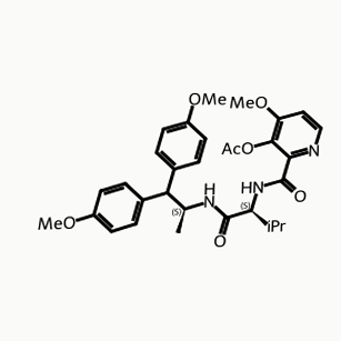 COc1ccc(C(c2ccc(OC)cc2)[C@H](C)NC(=O)[C@@H](NC(=O)c2nccc(OC)c2OC(C)=O)C(C)C)cc1